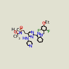 CCOc1cc(F)c(Cn2nc(-c3ncc(CCS(C)(=O)=NC(=O)C(F)(F)F)c(Nc4ccncc4)n3)c3ccccc32)c(F)c1